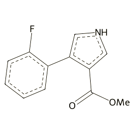 COC(=O)c1c[nH]cc1-c1ccccc1F